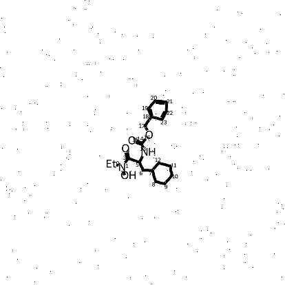 CCN(O)C(=O)C(CC1CCCCC1)NC(=O)OCc1ccccc1